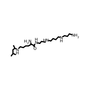 CC(C)CC(C)NCCCCC(N)C(=O)NCCCNCCCCNCCCN